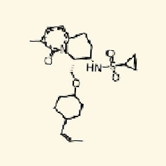 C/C=C\C1CCC(OC[C@H]2[C@@H](NS(=O)(=O)C3CC3)CCc3ccc(C)c(=O)n32)CC1